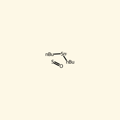 CCC[CH2][Sn][CH2]CCC.O=S